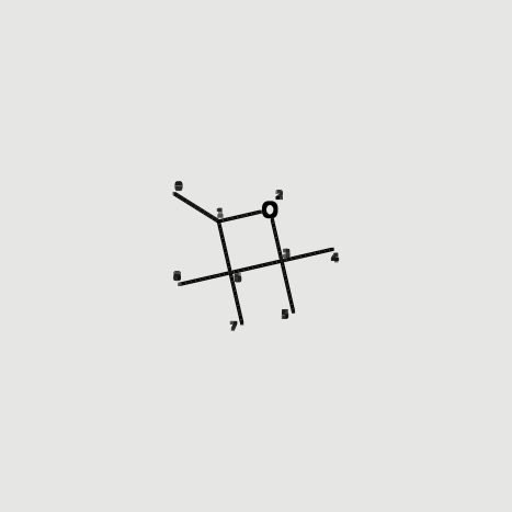 CC1OC(C)(C)C1(C)C